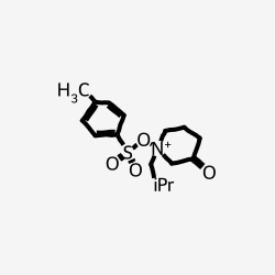 Cc1ccc(S(=O)(=O)O[N+]2(CC(C)C)CCCC(=O)C2)cc1